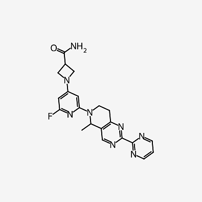 CC1c2cnc(-c3ncccn3)nc2CCN1c1cc(N2CC(C(N)=O)C2)cc(F)n1